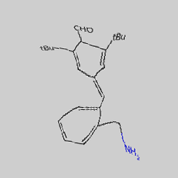 CC(C)(C)C1=CC(=Cc2ccccc2CN)C=C(C(C)(C)C)C1C=O